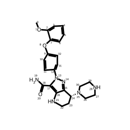 COc1ccccc1Oc1ccc(-n2nc3c(c2C(N)=O)NCC[C@H]3N2CCNCC2)cc1